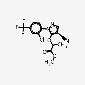 COC(=O)C(C)Oc1c(C#N)cnn1-c1ccc(C(F)(F)F)cc1Cl